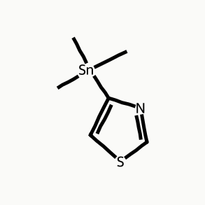 [CH3][Sn]([CH3])([CH3])[c]1cscn1